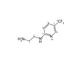 NCCNc1ccc(C(F)(F)F)cn1